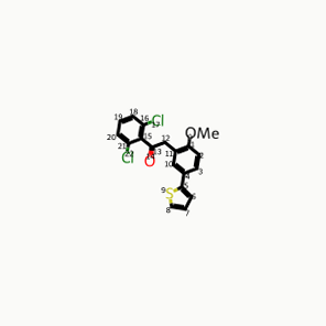 COc1ccc(-c2cccs2)cc1CC(=O)c1c(Cl)cccc1Cl